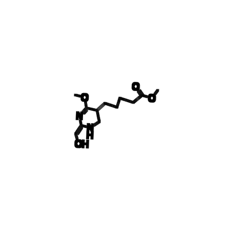 COC(=O)CCCCC1CN/C(=C\O)N=C1OC